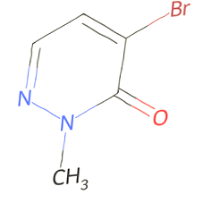 Cn1nccc(Br)c1=O